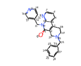 O=c1c2c(c3cccnc3n1Cc1ccncc1)CCN(Cc1ccccc1)C2